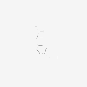 O=S(=O)(O)c1ccc(OC(F)(F)C(F)F)cc1